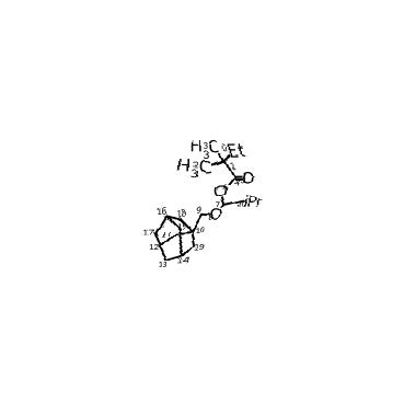 CCC(C)(C)C(=O)OC(OCC12CC3CC(CC(C3)C1)C2)C(C)C